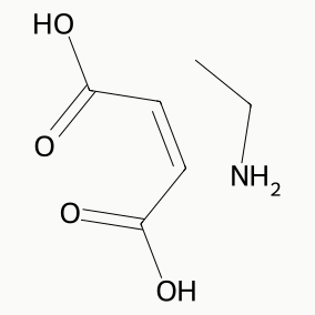 CCN.O=C(O)/C=C\C(=O)O